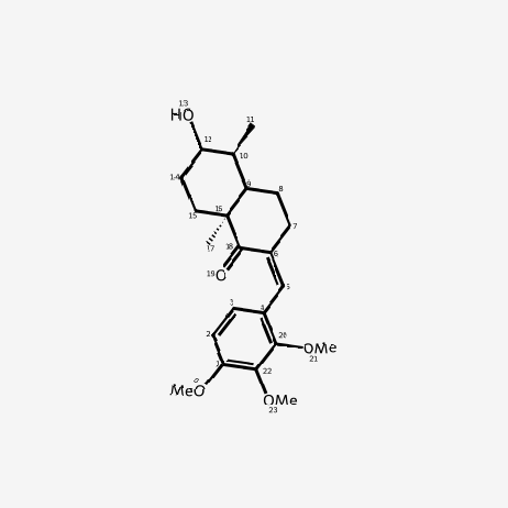 COc1ccc(C=C2CCC3[C@H](C)C(O)CC[C@]3(C)C2=O)c(OC)c1OC